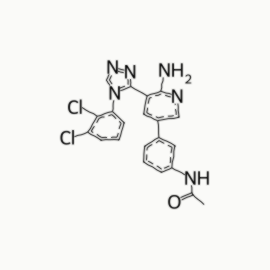 CC(=O)Nc1cccc(-c2cnc(N)c(-c3nncn3-c3cccc(Cl)c3Cl)c2)c1